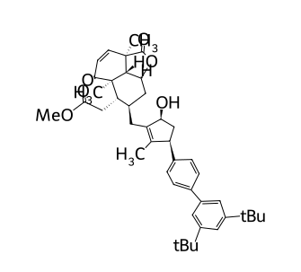 COC(=O)C[C@H]1[C@H](CC2=C(C)[C@H](c3ccc(-c4cc(C(C)(C)C)cc(C(C)(C)C)c4)cc3)C[C@@H]2O)C[C@@H]2OC(=O)[C@]3(C)C=CC(=O)[C@@]1(C)[C@@H]23